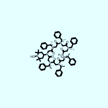 C[C@H](NCC(=O)N(CC(=O)N(CC(=O)N(CC(=O)N(CC(=O)N(CC(=O)N(CC(N)=O)[C@@H](C)c1ccccc1)[C@@H](C)c1ccccc1)[C@@H](C)c1ccccc1)C1CC(C)(C)N(O)C(C)(C)C1)[C@@H](C)c1ccccc1)[C@@H](C)c1ccccc1)c1ccccc1